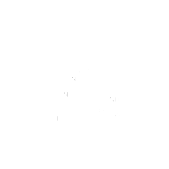 O=C1c2ccccc2C(Cc2ccc(F)cn2)N1Cc1ccc2[nH]c(=O)oc2c1